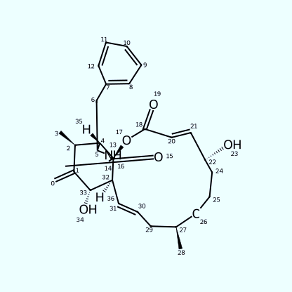 C=C1[C@@H](C)[C@H]2C(Cc3ccccc3)NC(=O)[C@]23OC(=O)/C=C/[C@H](O)CCC[C@@H](C)C/C=C/[C@H]3[C@@H]1O